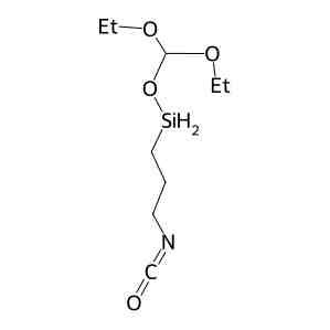 CCOC(OCC)O[SiH2]CCCN=C=O